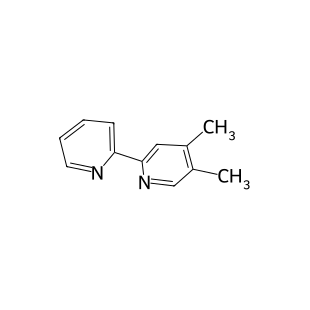 Cc1cnc(-c2ccccn2)cc1C